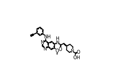 C#Cc1cccc(Nc2ncnc3cc(OC)c(NC(=O)C=C4CCN(C(=O)O)CC4)cc23)c1